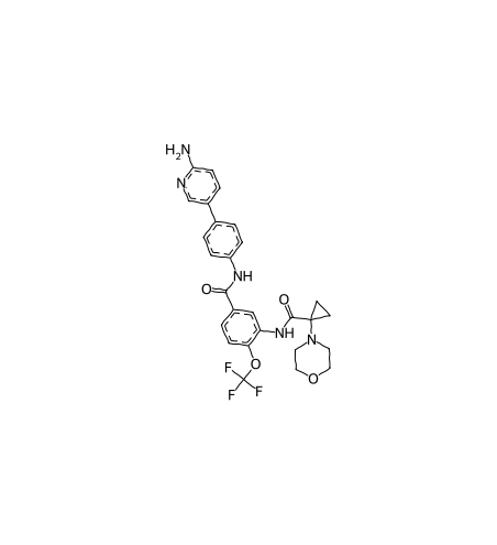 Nc1ccc(-c2ccc(NC(=O)c3ccc(OC(F)(F)F)c(NC(=O)C4(N5CCOCC5)CC4)c3)cc2)cn1